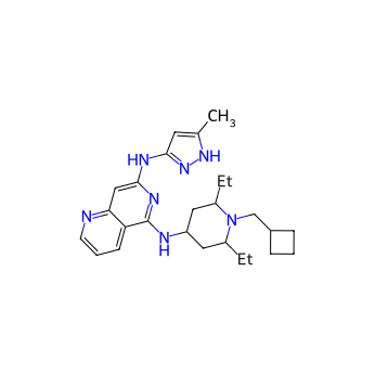 CCC1CC(Nc2nc(Nc3cc(C)[nH]n3)cc3ncccc23)CC(CC)N1CC1CCC1